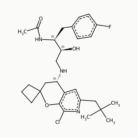 CC(=O)N[C@@H](Cc1ccc(F)cc1)[C@@H](O)CN[C@H]1CC2(CCC2)Oc2c1cc(CC(C)(C)C)nc2Cl